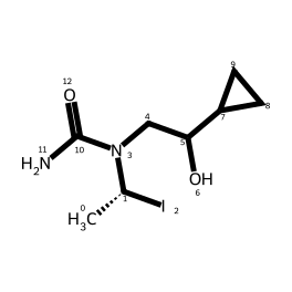 C[C@@H](I)N(CC(O)C1CC1)C(N)=O